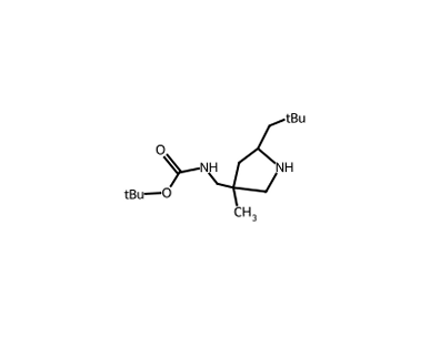 CC(C)(C)CC1CC(C)(CNC(=O)OC(C)(C)C)CN1